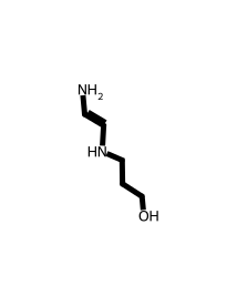 NC=CNCCCO